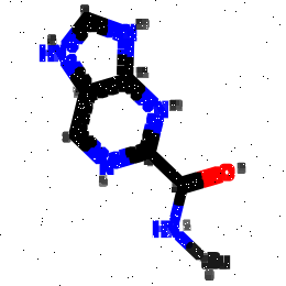 CC(C)(C)NC(=O)c1ncc2[nH]cnc2n1